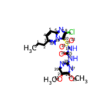 CCCc1ccc2nc(Cl)c(S(=O)(=O)NC(=O)Nc3ncc(OC)c(OC)n3)n2n1